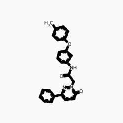 Cc1ccc(Oc2cccc(NC(=O)Cn3nc(-c4ccccc4)ccc3=O)c2)cc1